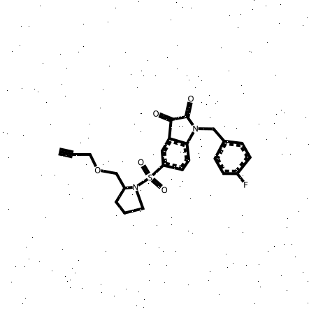 C#CCOCC1CCCN1S(=O)(=O)c1ccc2c(c1)C(=O)C(=O)N2Cc1ccc(F)cc1